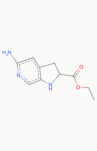 CCOC(=O)C1Cc2cc(N)ncc2N1